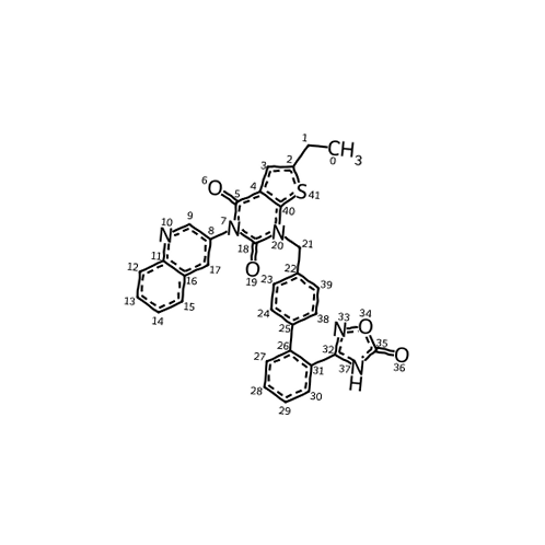 CCc1cc2c(=O)n(-c3cnc4ccccc4c3)c(=O)n(Cc3ccc(-c4ccccc4-c4noc(=O)[nH]4)cc3)c2s1